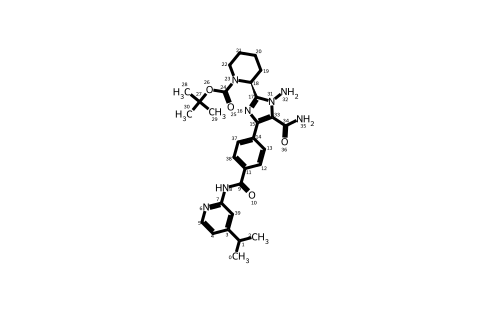 CC(C)c1ccnc(NC(=O)c2ccc(-c3nc([C@@H]4CCCCN4C(=O)OC(C)(C)C)n(N)c3C(N)=O)cc2)c1